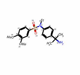 CCN(c1ccc(C(C)(C)N)cc1)S(=O)(=O)c1ccc(OC)c(OC)c1